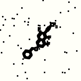 Fc1cc2cc(OCC3=CCCCC3)cc(F)c2c(F)c1C#CC(F)(F)F